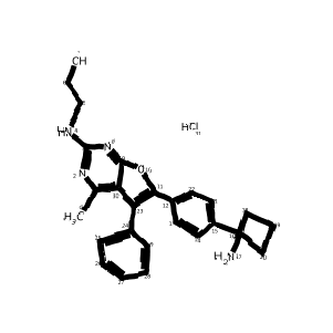 Cc1nc(NCCO)nc2oc(-c3ccc(C4(N)CCC4)cc3)c(-c3ccccc3)c12.Cl